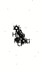 O=C(Cc1ccccc1F)Nc1onc(-c2cc(Cl)cc(Cl)c2)c1-c1ccncc1